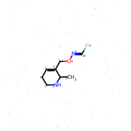 CC1NCCC=C1CON=CF